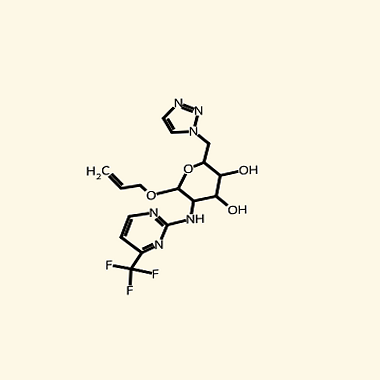 C=CCOC1OC(Cn2ccnn2)C(O)C(O)C1Nc1nccc(C(F)(F)F)n1